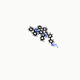 Nc1ccc(-c2cccc(-c3cc(-c4ccccc4-c4ccccc4-c4ccccc4-c4nc(-c5ccccc5)c5ccccc5n4)nc(-c4ccccc4)n3)c2)cc1